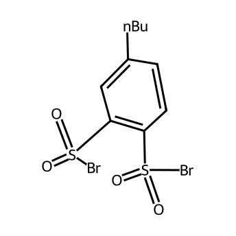 CCCCc1ccc(S(=O)(=O)Br)c(S(=O)(=O)Br)c1